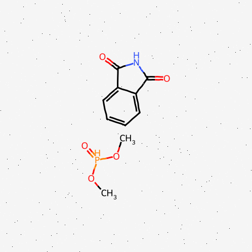 CO[PH](=O)OC.O=C1NC(=O)c2ccccc21